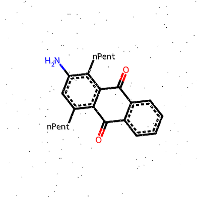 CCCCCc1cc(N)c(CCCCC)c2c1C(=O)c1ccccc1C2=O